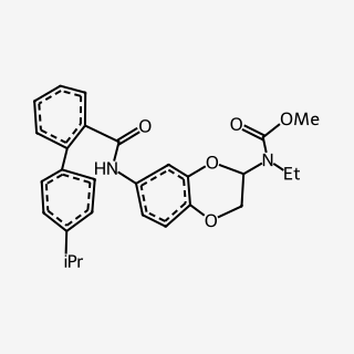 CCN(C(=O)OC)C1COc2ccc(NC(=O)c3ccccc3-c3ccc(C(C)C)cc3)cc2O1